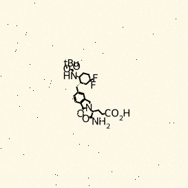 CC(C)(C)OC(=O)N[C@H]1CCC(F)(F)C[C@@H]1Cc1ccc2c(c1)CN(C(CCC(=O)O)C(N)=O)C2=O